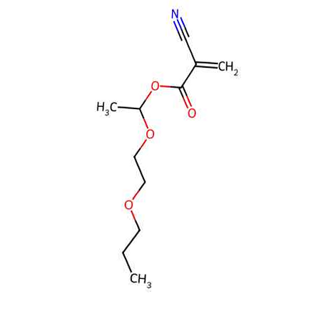 C=C(C#N)C(=O)OC(C)OCCOCCC